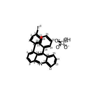 Fc1ccc(-c2cccc3nc4ccccc4c(-c4ccccc4)c23)cc1.[O-][Cl+3]([O-])([O-])O